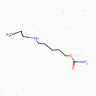 CCCNCCCCCOC(N)=O